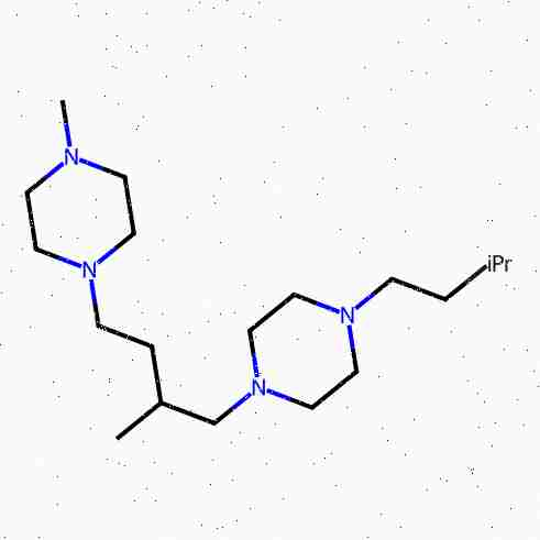 CC(C)CCN1CCN(CC(C)CCN2CCN(C)CC2)CC1